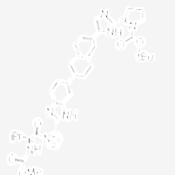 COC(=O)N[C@H](C(=O)N1CCC[C@H]1c1nc2ccc(-c3ccc4cc(-c5cnc([C@@H]6CCCN6C(=O)OC(C)(C)C)[nH]5)ccc4c3)cc2[nH]1)C(C)C